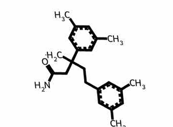 [CH2]C(CCc1cc(C)cc(C)c1)(CC(N)=O)c1cc(C)cc(C)c1